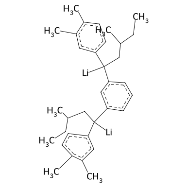 [Li][C](CC(C)CC)(c1cccc([C]([Li])(CC(C)CC)c2ccc(C)c(C)c2)c1)c1ccc(C)c(C)c1